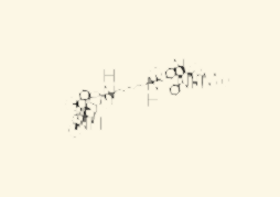 CNC(=O)c1cnc2ccc(CC(=O)NCCCCCCCCNC(=O)COc3cccc4c3C(=O)N(C3CCC(=O)NC3=O)C4=O)cc2c1Nc1ccccc1